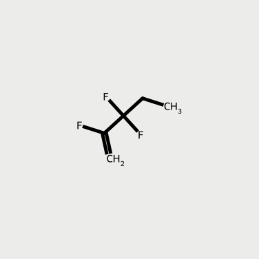 C=C(F)C(F)(F)CC